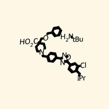 CC(C)(C)N.CC(C)Cc1ccc(-c2nc(-c3ccc(CN4CCC(COCc5ccccc5)(C(=O)O)CC4)cc3)no2)cc1Cl